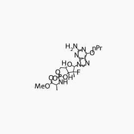 CCCOc1nc(N)nc2c1ncn2[C@@H]1O[C@@H]2CO[P@@](=O)(N[C@@H](C)C(=O)OC)O[C@H]2[C@@]1(C)F